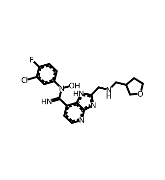 N=C(c1ccnc2nc(CNCC3CCOC3)[nH]c12)N(O)c1ccc(F)c(Cl)c1